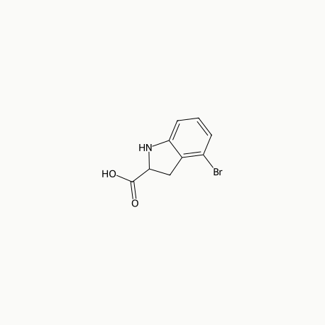 O=C(O)C1Cc2c(Br)cccc2N1